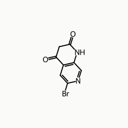 O=C1CC(=O)c2cc(Br)ncc2N1